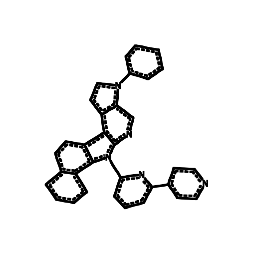 c1ccc(-n2ccc3c4c5ccc6ccccc6c5n(-c5cccc(-c6ccncc6)n5)c4ncc32)cc1